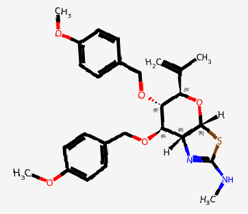 C=C(C)[C@H]1O[C@@H]2SC(NC)=N[C@@H]2[C@@H](OCc2ccc(OC)cc2)[C@@H]1OCc1ccc(OC)cc1